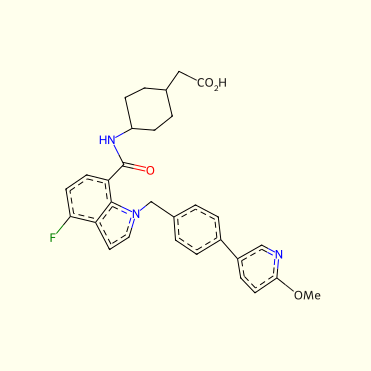 COc1ccc(-c2ccc(Cn3ccc4c(F)ccc(C(=O)NC5CCC(CC(=O)O)CC5)c43)cc2)cn1